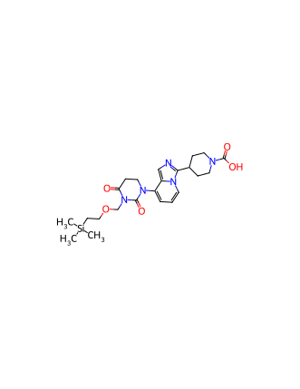 C[Si](C)(C)CCOCN1C(=O)CCN(c2cccn3c(C4CCN(C(=O)O)CC4)ncc23)C1=O